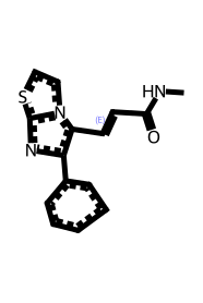 CNC(=O)/C=C/c1c(-c2ccccc2)nc2sccn12